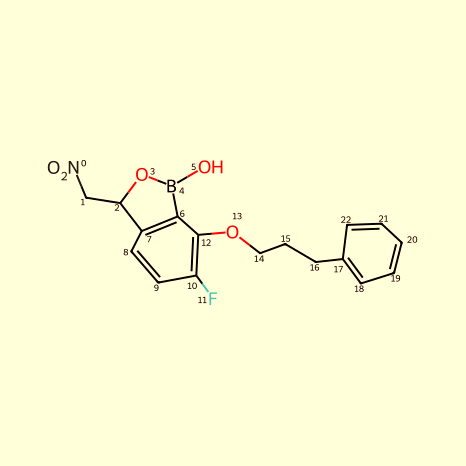 O=[N+]([O-])CC1OB(O)c2c1ccc(F)c2OCCCc1ccccc1